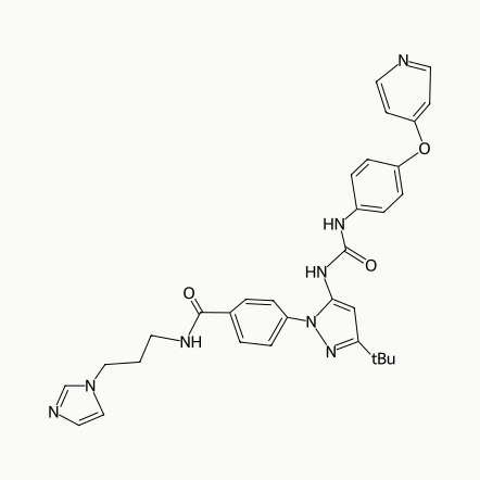 CC(C)(C)c1cc(NC(=O)Nc2ccc(Oc3ccncc3)cc2)n(-c2ccc(C(=O)NCCCn3ccnc3)cc2)n1